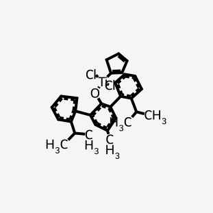 Cc1cc(-c2ccccc2C(C)C)c([O][Ti]([Cl])([Cl])[C]2=CC=CC2)c(-c2ccccc2C(C)C)c1